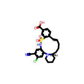 N#Cc1cc2c(cc1Cl)N1CCCC[C@H]1CCC/C=C/c1ccc(C(=O)O)cc1S(=O)(=O)N2